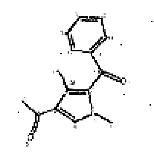 CC(=O)c1cn(C)c(C(=O)c2ccccc2)c1C